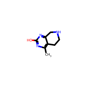 Cc1nc(O)nc2c1CCNC2